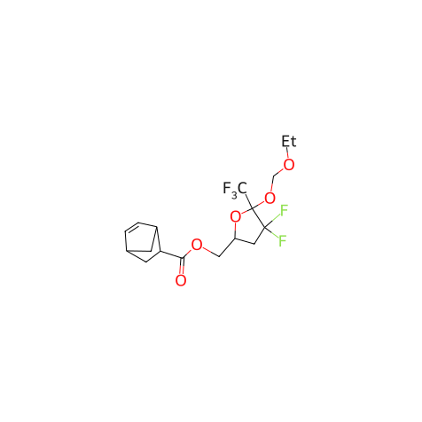 CCOCOC1(C(F)(F)F)OC(COC(=O)C2CC3C=CC2C3)CC1(F)F